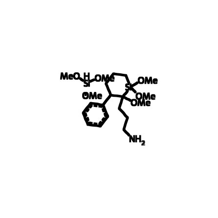 COC1(CCCN)C(c2ccccc2)CCC[Si]1(OC)OC.CO[SiH](OC)OC